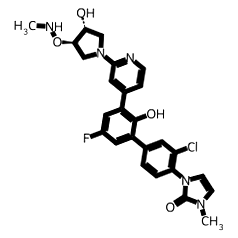 CNO[C@@H]1CN(c2cc(-c3cc(F)cc(-c4ccc(-n5ccn(C)c5=O)c(Cl)c4)c3O)ccn2)C[C@H]1O